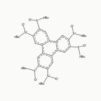 CCCC[S+]([O-])c1cc2c3cc([S+]([O-])CCCC)c([S+]([O-])CCCC)cc3c3cc([S+]([O-])CCCC)c([S+]([O-])CCCC)cc3c2cc1[S+]([O-])CCCC